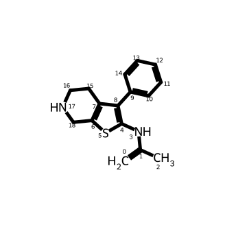 C=C(C)Nc1sc2c(c1-c1ccccc1)CCNC2